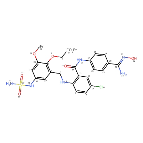 CCOC(=O)COc1c(CNc2ccc(Cl)cc2C(=O)Nc2ccc(/C(N)=N/O)cc2)cc(NS(N)(=O)=O)cc1OC(C)C